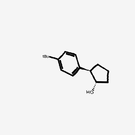 CC(C)(C)c1ccc([C@H]2CCC[C@@H]2O)cc1